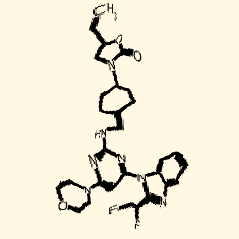 CCC1CN(C2CCC(CNc3nc(N4CCOCC4)cc(-n4c(C(F)F)nc5ccccc54)n3)CC2)C(=O)O1